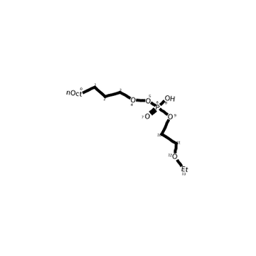 CCCCCCCCCCCOOP(=O)(O)OCCOCC